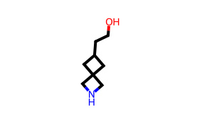 OCCC1CC2(CNC2)C1